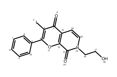 O=c1c(I)c(-c2ccccc2)oc2c(=O)n(CCO)ccc12